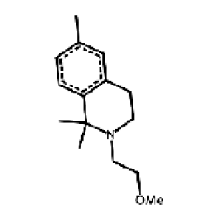 COCCN1CCc2cc(C)ccc2C1(C)C